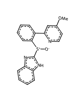 COc1ccnc(-c2ccccc2[S+]([O-])c2nc3ccccc3[nH]2)c1